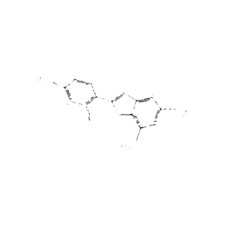 COc1ccc(-c2cc3cc(C=O)cc(OC)c3o2)c(C)c1